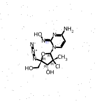 C[C@]1(Cl)[C@H](n2ccc(N)n/c2=N\O)O[C@@](CO)(N=[N+]=[N-])[C@H]1O